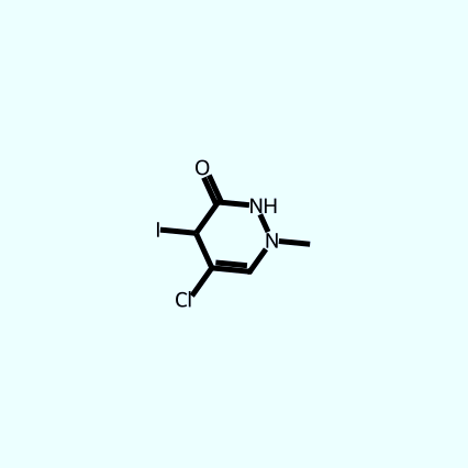 CN1C=C(Cl)C(I)C(=O)N1